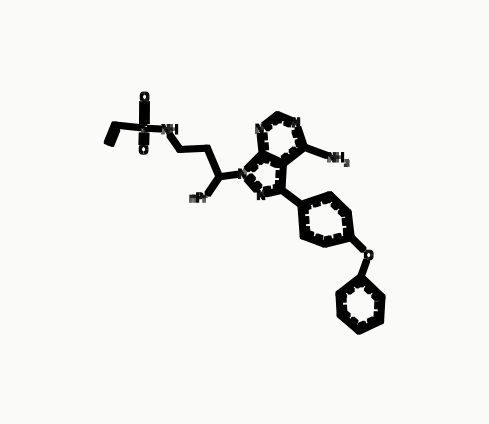 C=CS(=O)(=O)NCCC(CCC)n1nc(-c2ccc(Oc3ccccc3)cc2)c2c(N)ncnc21